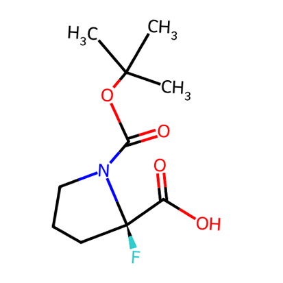 CC(C)(C)OC(=O)N1CCC[C@@]1(F)C(=O)O